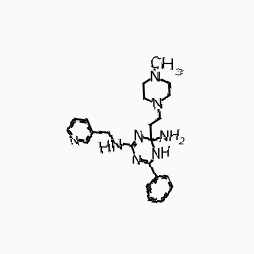 CN1CCN(CCC2(N)N=C(NCc3cccnc3)N=C(c3ccccc3)N2)CC1